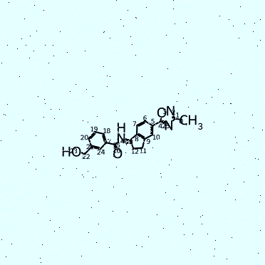 Cc1noc(-c2ccc3c(c2)CC[C@H]3NC(=O)c2cccc(CO)c2)n1